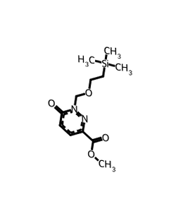 COC(=O)c1ccc(=O)n(COCC[Si](C)(C)C)n1